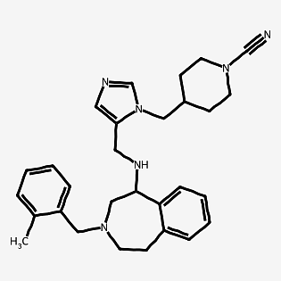 Cc1ccccc1CN1CCc2ccccc2C(NCc2cncn2CC2CCN(C#N)CC2)C1